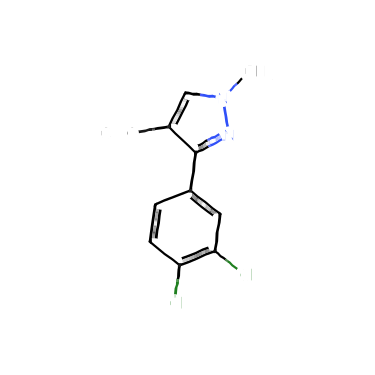 Cn1cc(C=O)c(-c2ccc(Cl)c(Cl)c2)n1